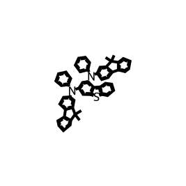 CC1(C)c2ccccc2-c2ccc(N(c3ccccc3)c3cc(N(c4ccccc4)c4ccc5c(c4)C(C)(C)c4ccccc4-5)c4c(c3)sc3ccccc34)cc21